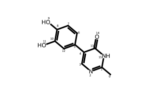 Cc1ncc(-c2ccc(O)c(O)c2)c(=O)[nH]1